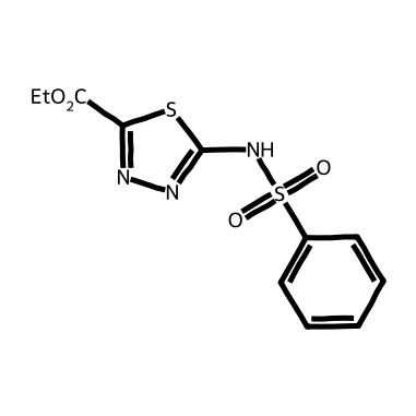 CCOC(=O)c1nnc(NS(=O)(=O)c2ccccc2)s1